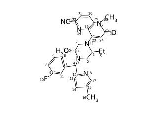 CC[C@H]1CN(C(c2cccc(F)c2)c2ccc(C)cn2)[C@H](C)CN1c1cc(=O)n(C)c2ccc(C#N)nc12